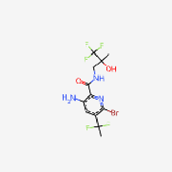 CC(F)(F)c1cc(N)c(C(=O)NCC(C)(O)C(F)(F)F)nc1Br